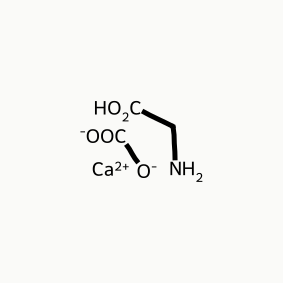 NCC(=O)O.O=C([O-])[O-].[Ca+2]